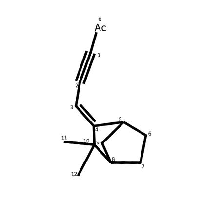 CC(=O)C#CC=C1C2CCC(C2)C1(C)C